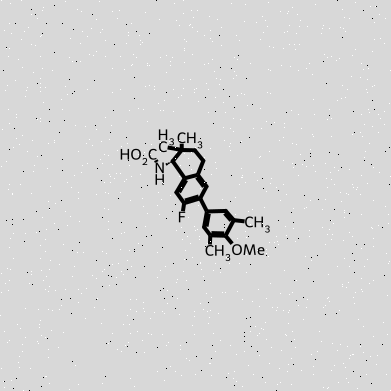 COc1c(C)cc(-c2cc3c(cc2F)[C@H](NC(=O)O)C(C)(C)CC3)cc1C